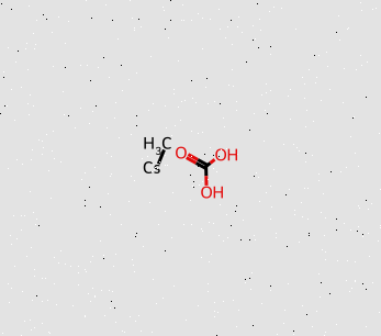 O=C(O)O.[CH3][Cs]